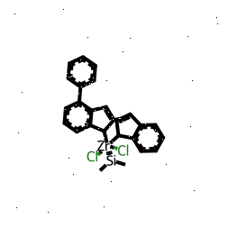 CC1=Cc2c(-c3ccccc3)cccc2[CH]1[Zr]([Cl])([Cl])([CH]1C=Cc2ccccc21)=[Si](C)C